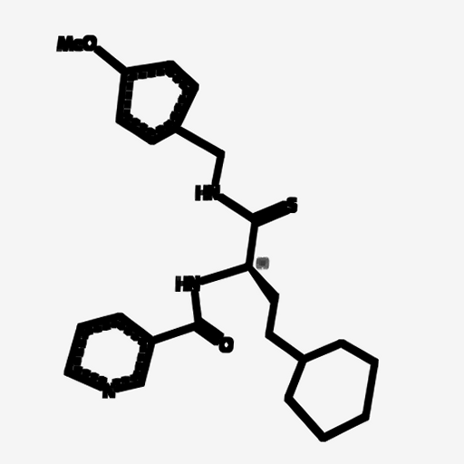 COc1ccc(CNC(=S)[C@@H](CCC2CCCCC2)NC(=O)c2cccnc2)cc1